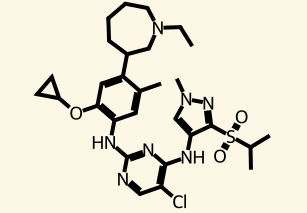 CCN1CCCCC(c2cc(OC3CC3)c(Nc3ncc(Cl)c(Nc4cn(C)nc4S(=O)(=O)C(C)C)n3)cc2C)C1